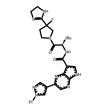 CCn1cc(-c2cnc3[nH]cc(C(=O)N[C@@H](C(=O)N4CCC(F)(C5=NCCN5)C4)C(C)(C)C)c3n2)cn1